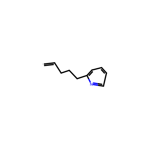 [CH]=CCCCc1ccccn1